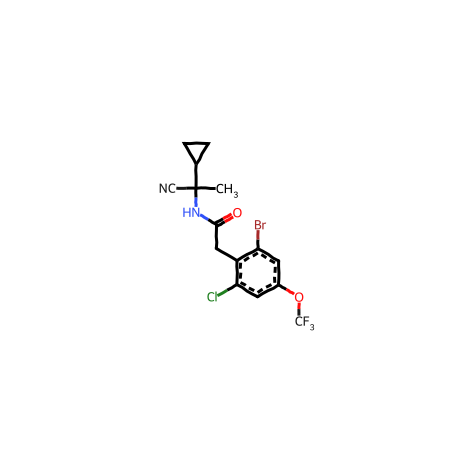 CC(C#N)(NC(=O)Cc1c(Cl)cc(OC(F)(F)F)cc1Br)C1CC1